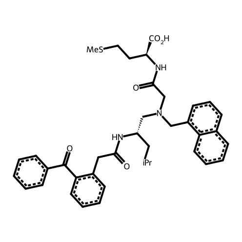 CSCC[C@H](NC(=O)CN(Cc1cccc2ccccc12)C[C@H](CC(C)C)NC(=O)Cc1ccccc1C(=O)c1ccccc1)C(=O)O